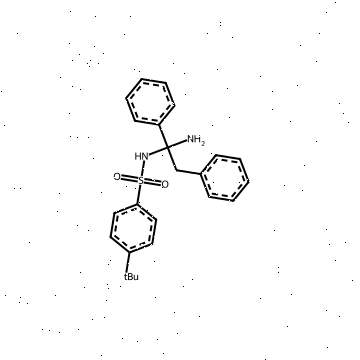 CC(C)(C)c1ccc(S(=O)(=O)NC(N)(Cc2ccccc2)c2ccccc2)cc1